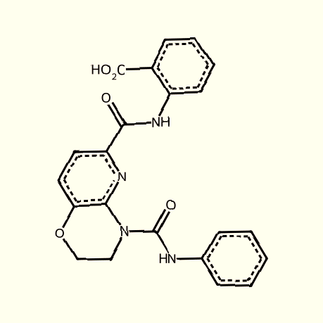 O=C(Nc1ccccc1C(=O)O)c1ccc2c(n1)N(C(=O)Nc1ccccc1)CCO2